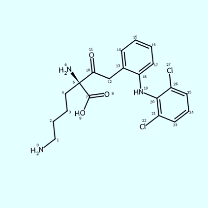 NCCCC[C@@](N)(C(=O)O)C(=O)Cc1ccccc1Nc1c(Cl)cccc1Cl